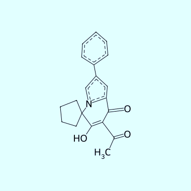 CC(=O)C1=C(O)C2(CCCC2)n2cc(-c3ccccc3)cc2C1=O